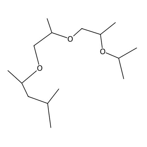 CC(C)CC(C)OCC(C)OCC(C)OC(C)C